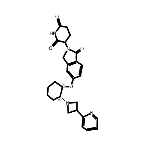 O=C1CCC(N2Cc3cc(O[C@@H]4CCCC[C@H]4N4CC(c5ccccn5)C4)ccc3C2=O)C(=O)N1